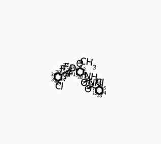 COc1cc(NC(=O)NC(=O)c2ccccc2Cl)ccc1OC(F)(F)C(F)(F)c1cccc(Cl)c1